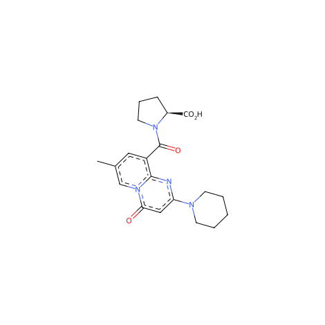 Cc1cc(C(=O)N2CCC[C@H]2C(=O)O)c2nc(N3CCCCC3)cc(=O)n2c1